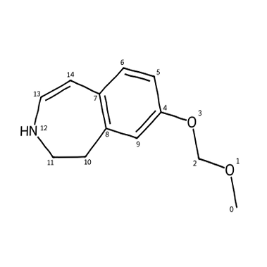 COCOc1ccc2c(c1)CCNC=C2